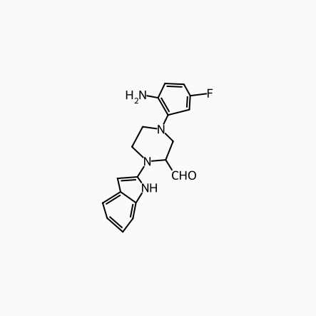 Nc1ccc(F)cc1N1CCN(c2cc3ccccc3[nH]2)C(C=O)C1